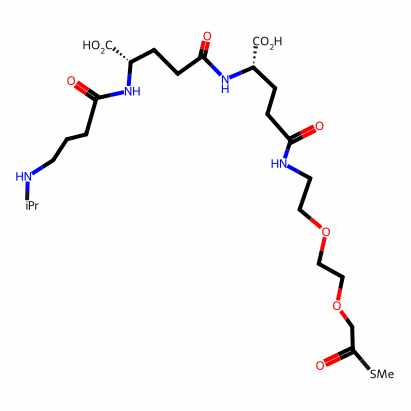 CSC(=O)COCCOCCNC(=O)CC[C@H](NC(=O)CC[C@H](NC(=O)CCCNC(C)C)C(=O)O)C(=O)O